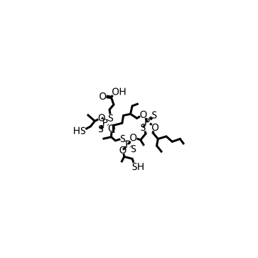 CCCCC(CC)COP(=S)(OCC(CC)CCCC)SCC(C)OP(=S)(OC(C)CS)SCC(C)OP(=S)(OC(C)CS)SCCC(=O)O